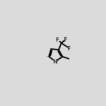 CC1=C(C(F)(F)F)C=[C][N]1